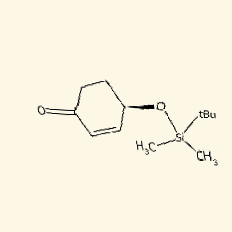 CC(C)(C)[Si](C)(C)O[C@H]1C=CC(=O)CC1